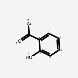 CC(=O)C(=O)c1ccccc1O